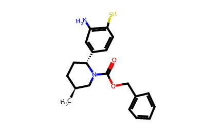 C[C@H]1CC[C@H](c2ccc(S)c(N)c2)N(C(=O)OCc2ccccc2)C1